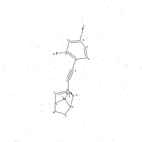 CN1C2C=C(C#Cc3ccc(F)cc3F)CC1CC2